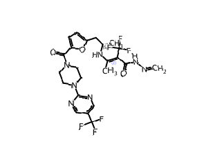 C=NNC(=O)/C(=C(\C)N[C@@H](C)Cc1ccc(C(=O)N2CCN(c3ncc(C(F)(F)F)cn3)CC2)o1)C(F)(F)F